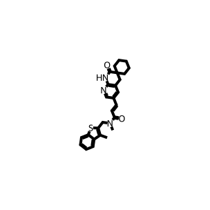 Cc1c(CN(C)C(=O)/C=C/c2cnc3c(c2)CC2(CCCCC2)C(=O)N3)sc2ccccc12